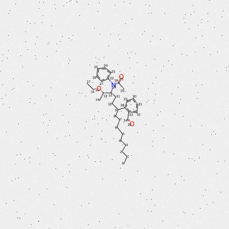 CCCCCCCCCC(CCC(C(C)OCC)N(C(C)=O)c1ccccc1)c1ccccc1C=O